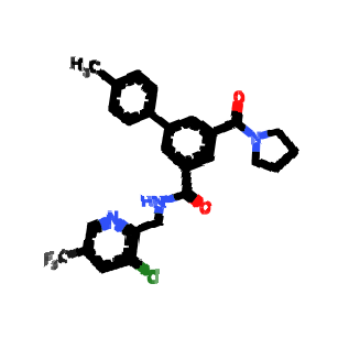 Cc1ccc(-c2cc(C(=O)NCc3ncc(C(F)(F)F)cc3Cl)cc(C(=O)N3CCCC3)c2)cc1